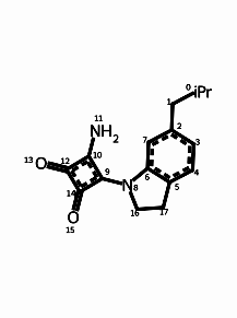 CC(C)Cc1ccc2c(c1)N(c1c(N)c(=O)c1=O)CC2